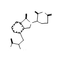 CCCCCCC(Cc1cccc2c1CN(C1CCC(=O)NC1=O)C2=O)C(N)=O